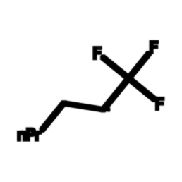 CCCC[CH]C(F)(F)F